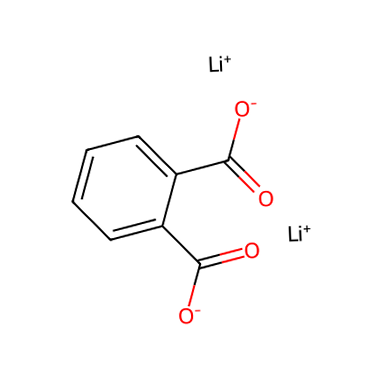 O=C([O-])c1ccccc1C(=O)[O-].[Li+].[Li+]